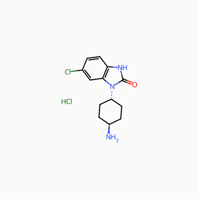 Cl.N[C@H]1CC[C@H](n2c(=O)[nH]c3ccc(Cl)cc32)CC1